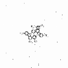 N#Cc1ccc(-c2cc(-c3ccc(C(F)(F)F)cc3C(F)(F)F)ccc2-n2c3ccc(C(F)(F)F)cc3c3cc(C(F)(F)F)ccc32)c(-n2c3ccc(C(F)(F)F)cc3c3cc(C(F)(F)F)ccc32)c1